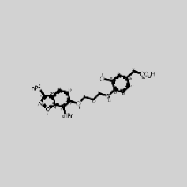 CCCc1noc2c(CCC)c(OCCCSc3ccc(CC(=O)O)cc3Cl)ccc12